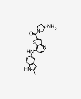 Cc1cc2cc(Nc3ccnc4cc(C(=O)N5CC[C@H](N)C5)sc34)ccc2[nH]1